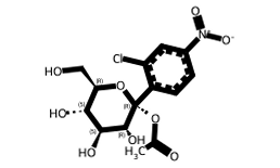 CC(=O)O[C@@]1(c2ccc([N+](=O)[O-])cc2Cl)O[C@H](CO)[C@@H](O)[C@H](O)[C@H]1O